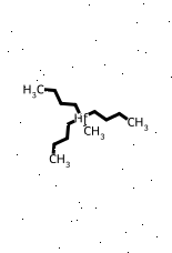 CCC[CH2][Hf]([CH3])([CH2]CCC)[CH2]CCC